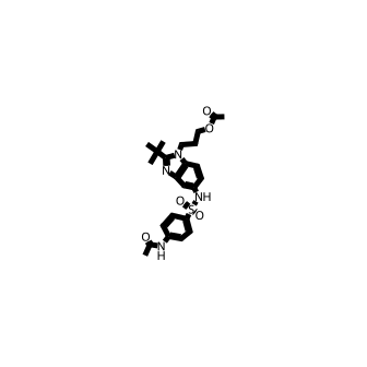 CC(=O)Nc1ccc(S(=O)(=O)Nc2ccc3c(c2)nc(C(C)(C)C)n3CCCOC(C)=O)cc1